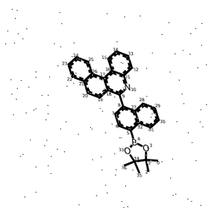 CC1(C)OB(c2ccc(-c3nc4ccccc4c4c3ccc3ccccc34)c3ccccc23)OC1(C)C